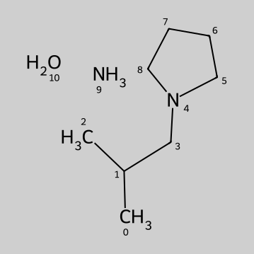 CC(C)CN1CCCC1.N.O